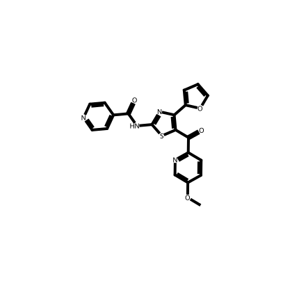 COc1ccc(C(=O)c2sc(NC(=O)c3ccncc3)nc2-c2ccco2)nc1